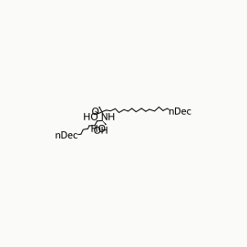 CCCCCCCCCCCCCCCCCCCCCCCCCC1(N[C@@H](CO)[C@H](O)[C@H](O)CCCCCCCCCCCCCC)COC1